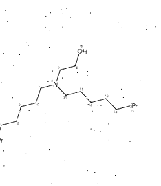 CC(C)CCCCCN(CCO)CCCCCC(C)C